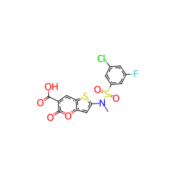 CN(c1cc2oc(=O)c(C(=O)O)cc2s1)S(=O)(=O)c1cc(F)cc(Cl)c1